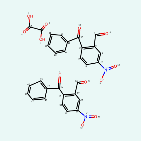 O=C(O)C(=O)O.O=Cc1cc([N+](=O)[O-])ccc1C(=O)c1ccccc1.O=Cc1cc([N+](=O)[O-])ccc1C(=O)c1ccccc1